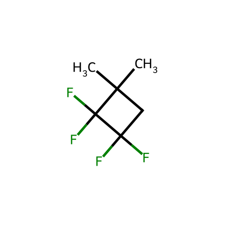 CC1(C)CC(F)(F)C1(F)F